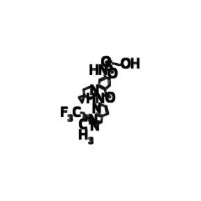 C[C@H](CC(F)(F)F)n1ncc2ccc(NC(=O)c3ccc(NS(=O)(=O)CCO)cc3N3CCC4(CC3)CC4)nc21